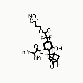 CCCC(CCC)C(=O)Oc1cc(C(F)(F)C(=O)OCCCO[N+](=O)[O-])cc(O)c1[C@H]1CC(=O)[C@H]2C[C@H]1C2(C)C